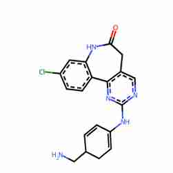 NCC1C=CC(Nc2ncc3c(n2)-c2ccc(Cl)cc2NC(=O)C3)=CC1